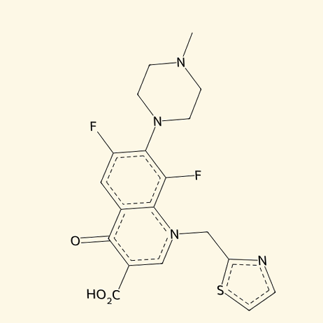 CN1CCN(c2c(F)cc3c(=O)c(C(=O)O)cn(Cc4nccs4)c3c2F)CC1